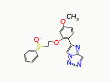 COc1ccc(-c2cn3ncncc3n2)c(OCC[S+]([O-])c2ccccc2)c1